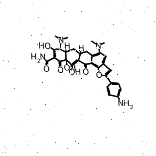 CN(C)c1cc2cc(-c3ccc(N)cc3)oc2c2c1C[C@H]1C[C@H]3[C@H](N(C)C)C(O)=C(C(N)=O)C(=O)[C@@]3(O)C(O)=C1C2=O